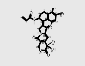 C=CC(=O)NC1CCc2c(C)c(C(C)C)cc3nc4c(c1c23)Cn1c-4cc2c(c1=O)COC(=O)[C@]2(O)CC